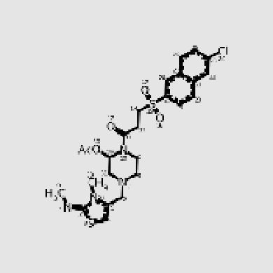 CN=c1scc(CN2CCN(C(=O)CCS(=O)(=O)c3ccc4cc(Cl)ccc4c3)C(OC(C)=O)C2)n1C